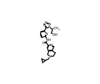 C[C@H](CO)n1nnnc1-c1cccc(NC(=O)c2cc3c(cn2)CCN(CC2CC2)C3)n1